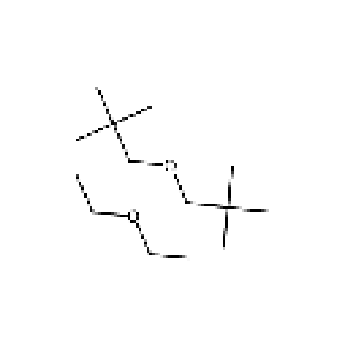 CC(C)(C)COCC(C)(C)C.CCOCC